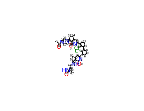 COc1nc(-c2cccc(-c3cccc(-c4cc5c(c(OC)n4)[C@@H](N4CCN(C(C)=O)CC4)CC5)c3Cl)c2Cl)cc2c1[C@@H](NC[C@@H]1CCC(=O)N1)CC2